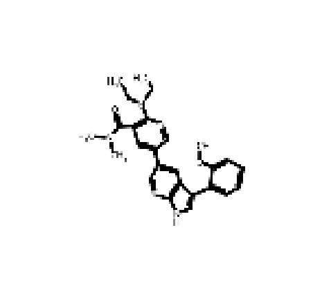 CCN(CC)c1ncc(-c2cnc3[nH]cc(-c4ccccc4OC)c3c2)cc1C(=O)N(C)C